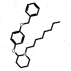 CCCCCCCCN1CCCCC1Oc1ccc(OCc2ccccc2)cc1